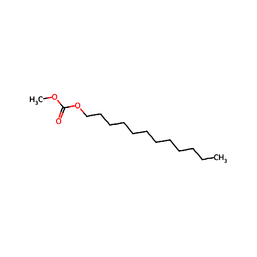 CCCCCCCCCCCCOC(=O)OC